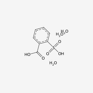 O.O.O.O=C(O)c1ccccc1S(=O)(=O)O